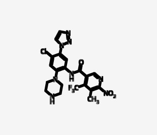 Cc1c([N+](=O)[O-])ncc(C(=O)Nc2cc(-n3ccnn3)c(Cl)cc2N2CCNCC2)c1C(F)(F)F